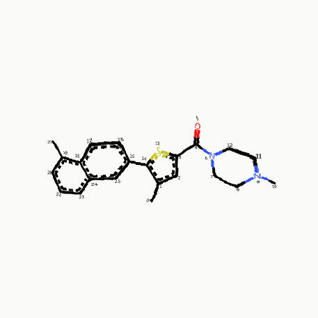 Cc1cc(C(=O)N2CCN(C)CC2)sc1-c1ccc2c(C)cccc2c1